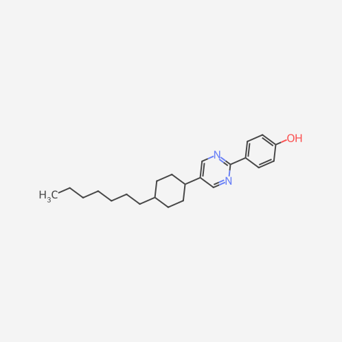 CCCCCCCC1CCC(c2cnc(-c3ccc(O)cc3)nc2)CC1